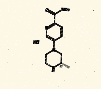 CNC(=O)c1ccc(N2CCN[C@@H](C)C2)cn1.Cl